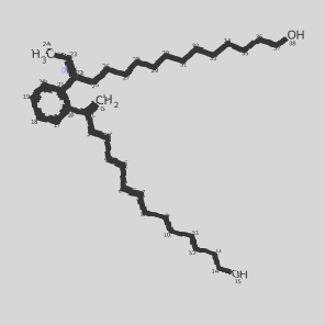 C=C(CCCCCCCCCCCCCO)c1ccccc1/C(=C\C)CCCCCCCCCCCCCO